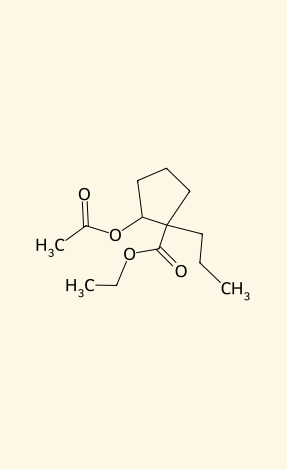 CCCC1(C(=O)OCC)CCCC1OC(C)=O